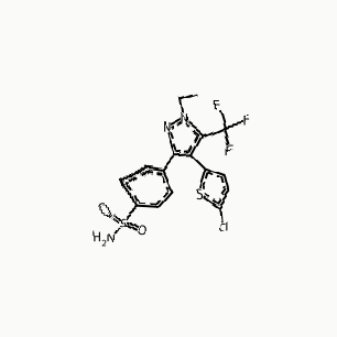 CCn1nc(-c2ccc(S(N)(=O)=O)cc2)c(-c2ccc(Cl)s2)c1C(F)(F)F